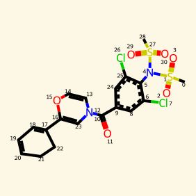 CS(=O)(=O)N(c1c(Cl)cc(C(=O)N2C=COC(C3=CC=CCC3)=C2)cc1Cl)S(C)(=O)=O